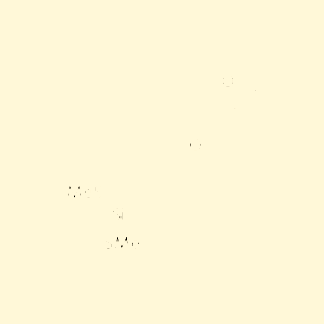 CS[SiH](CCCOCC1CO1)SC